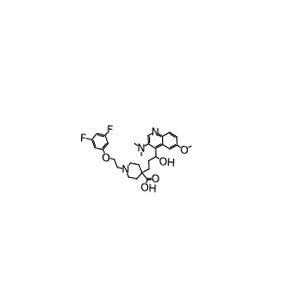 COc1ccc2ncc(N(C)C)c(C(O)CCC3(C(=O)O)CCN(CCOc4cc(F)cc(F)c4)CC3)c2c1